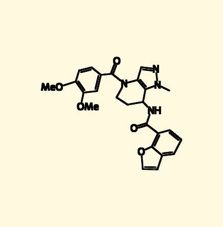 COc1ccc(C(=O)N2CCC(NC(=O)c3cccc4ccoc34)c3c2cnn3C)cc1OC